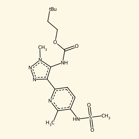 Cc1nc(-c2nnn(C)c2NC(=O)OCCC(C)(C)C)ccc1NS(C)(=O)=O